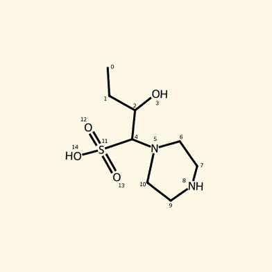 CCC(O)C(N1CCNCC1)S(=O)(=O)O